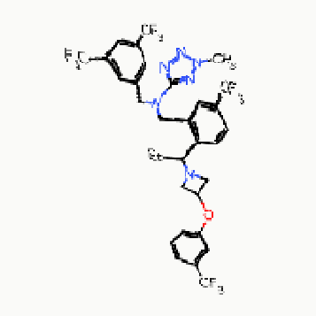 CCC(c1ccc(C(F)(F)F)cc1CN(Cc1cc(C(F)(F)F)cc(C(F)(F)F)c1)c1nnn(C)n1)N1CC(Oc2cccc(C(F)(F)F)c2)C1